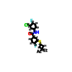 CCC1(C(C)=O)CC(Sc2cc(C(=O)Nc3ccc(F)c(Cl)c3)ccc2F)C1